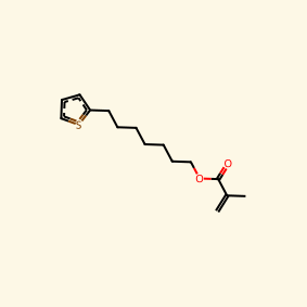 C=C(C)C(=O)OCCCCCCCc1cccs1